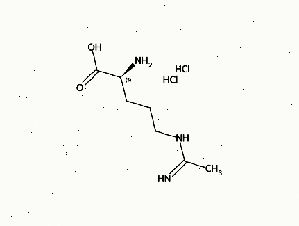 CC(=N)NCCC[C@H](N)C(=O)O.Cl.Cl